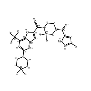 Cc1cc(C(=O)N2CCN(C(=O)c3cc4nc(C5CCC(C)(C)CC5)cc(C(C)(C)C)c4o3)C(C)(C)C2)[nH]n1